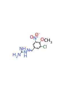 COc1c(Cl)cc(/C=N/NC(=N)N)cc1[N+](=O)[O-]